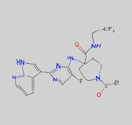 CC[S+]([O-])N1CCC(Nc2nc(-c3c[nH]c4ncccc34)ncc2F)(C(=O)NCC(F)(F)F)CC1